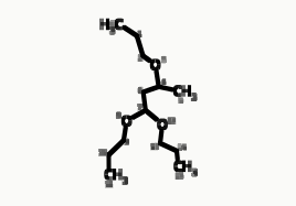 CCCOC(C)CC(OCCC)OCCC